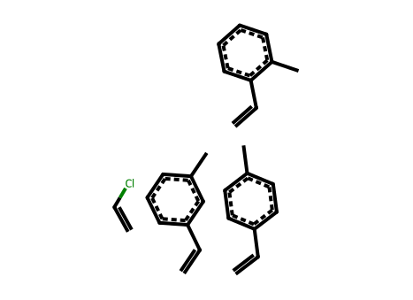 C=CCl.C=Cc1ccc(C)cc1.C=Cc1cccc(C)c1.C=Cc1ccccc1C